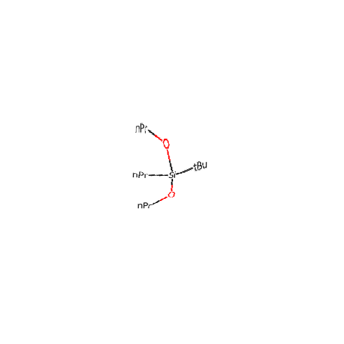 CCCO[Si](CCC)(OCCC)C(C)(C)C